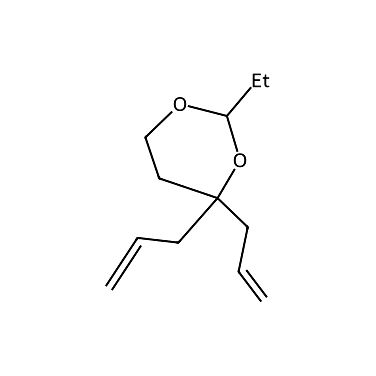 C=CCC1(CC=C)CCOC(CC)O1